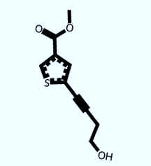 COC(=O)c1csc(C#CCCO)c1